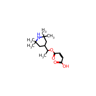 CC(OC(=O)/C=C\C(=O)O)C1CC(C)(C)NC(C)(C)C1